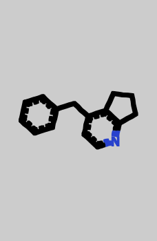 c1ccc(Cc2ccnc3c2CCC3)cc1